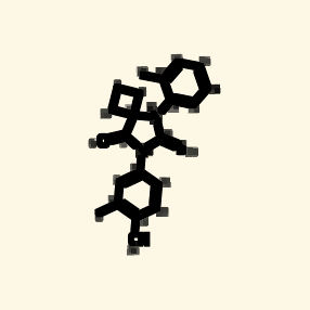 Cc1cc(N2C(=O)C3(CCC3)N(c3ccccc3C)C2=S)ccc1C#N